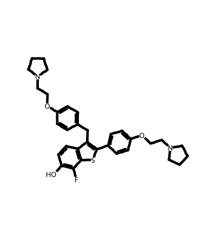 Oc1ccc2c(Cc3ccc(OCCN4CCCC4)cc3)c(-c3ccc(OCCN4CCCC4)cc3)sc2c1F